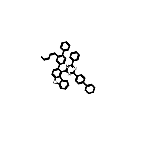 C/C=C\C=C/c1cc(-c2ccc3oc4ccccc4c3c2-c2nc(-c3ccccc3)nc(-c3ccc(C4=CCCCC4)cc3)n2)ccc1-c1ccccc1